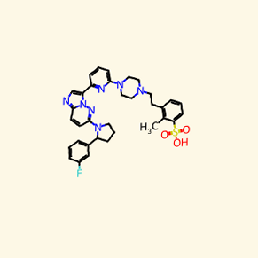 Cc1c(CCN2CCN(c3cccc(-c4cnc5ccc(N6CCCC6c6cccc(F)c6)nn45)n3)CC2)cccc1S(=O)(=O)O